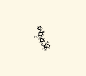 Oc1cc(-c2nnco2)c(F)cc1-c1ccc(O[C@H]2C[C@@H]3CC[C@@H](N3)[C@H]2F)nn1